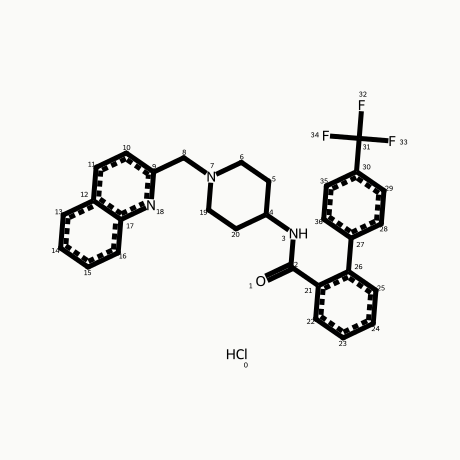 Cl.O=C(NC1CCN(Cc2ccc3ccccc3n2)CC1)c1ccccc1-c1ccc(C(F)(F)F)cc1